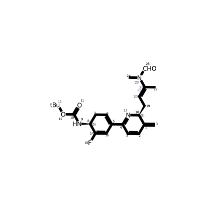 C=C1C=CC(C2=CC[C@H](NC(=O)OC(C)(C)C)C(F)=C2)=N[C@H]1C/C=C(\C)N(C)C=O